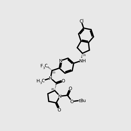 CN(C(=O)[C@H]1CCC(=O)N1C(=O)OC(C)(C)C)[C@@H](c1ccc(N[C@H]2Cc3ccc(Cl)cc3C2)cn1)C(F)(F)F